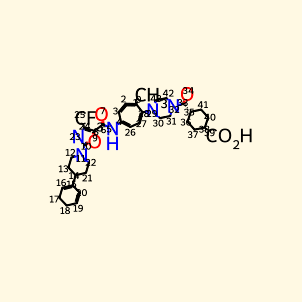 CC1=C=CC(NC(=O)c2oc(N3CCC(C4=CCCC=C4)CC3)nc2C(F)(F)F)=CC=C1N1CCN(C(=O)[C@H]2CC[C@H](C(=O)O)CC2)CC1